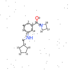 O=C(c1cccc(NCC2CCCC2)c1)N1CCC1